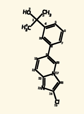 CC(C)(O)c1cccc(-c2ccc3nc(Cl)cn3c2)c1